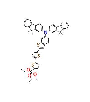 CCO[Si](OCC)(OCC)c1ccc(-c2ccc(-c3cc4ccc(N(c5ccc6c(c5)C(C)(C)c5ccccc5-6)c5ccc6c(c5)C(C)(C)c5ccccc5-6)cc4s3)s2)s1